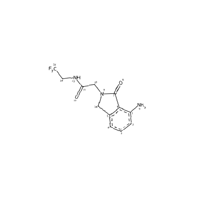 Nc1cccc2c1C(=O)N(CC(=O)NCC(F)(F)F)C2